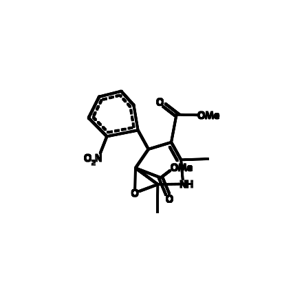 COC(=O)C1=C(C)NC2(C)OC2(C(=O)OC)C1c1ccccc1[N+](=O)[O-]